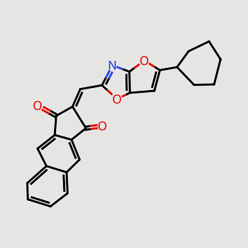 O=C1C(=Cc2nc3oc(C4CCCCC4)cc3o2)C(=O)c2cc3ccccc3cc21